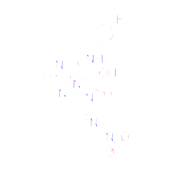 Cc1cc(CNC(=O)c2nc3n(c(=O)c2O)CC2(N4CCN(S(C)(=O)=O)CC4)CCC3(N(C)C(=O)C(=O)N(C)C)CC2)ccc1F